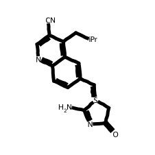 CC(C)Cc1c(C#N)cnc2ccc(/C=S3/CC(=O)N=C3N)cc12